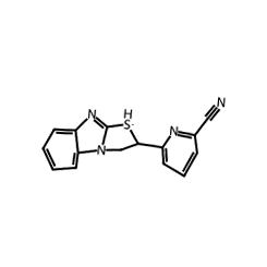 N#Cc1cccc(C2Cn3c(nc4ccccc43)[SH]2)n1